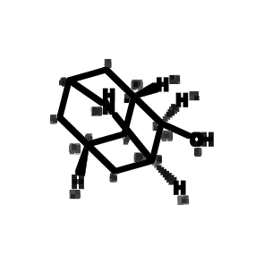 O[C@@H]1[C@H]2CC3C[C@H](C2)C[C@H]1N3